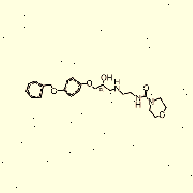 O=C(NCCNC[C@H](O)COc1ccc(OCc2ccccc2)cc1)N1CCOCC1